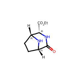 CCOC(=O)[C@@H]1NC(=O)[C@@H]2CC[C@H]1N2